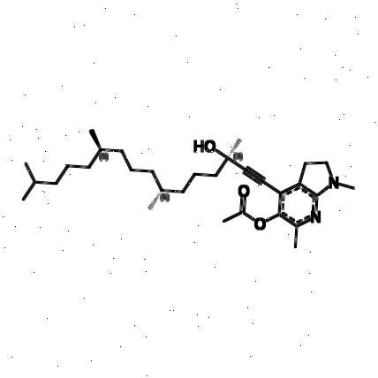 CC(=O)Oc1c(C)nc2c(c1C#C[C@](C)(O)CCC[C@H](C)CCC[C@H](C)CCCC(C)C)CCN2C